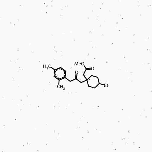 CCC1CCC(CC(=O)Cc2ccc(C)cc2C)(CC(=O)OC)CC1